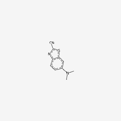 CN(C)c1ccc2nc(C#N)sc2c1